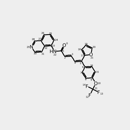 O=C(C=CC=C(c1ccc(OC(F)(F)F)cc1)c1ccco1)Nc1cccc2cnccc12